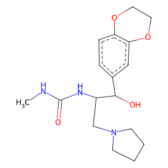 CNC(=O)NC(CN1CCCC1)C(O)c1ccc2c(c1)OCCO2